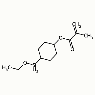 C=C(C)C(=O)OC1CCC([SiH2]OCC)CC1